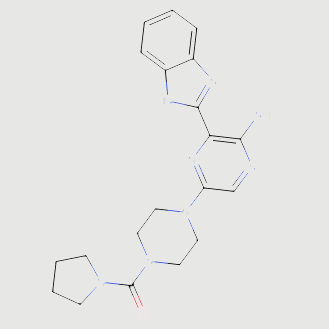 Nc1ncc(N2CCN(C(=O)N3CCCC3)CC2)nc1-c1nc2ccccc2[nH]1